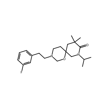 CC(C)N1CC2(CCN(CCc3cccc(F)c3)CO2)CC(C)(C)C1=O